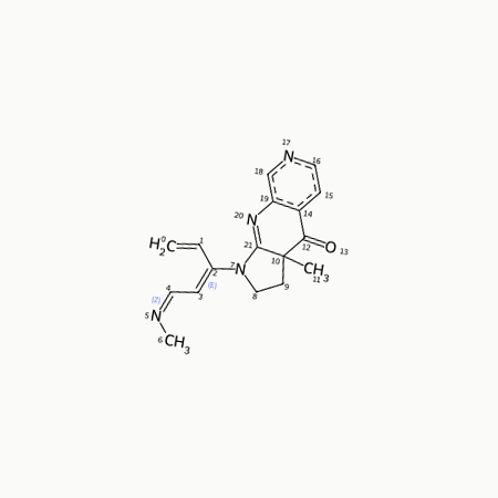 C=C/C(=C\C=N/C)N1CCC2(C)C(=O)c3ccncc3N=C12